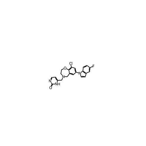 O=c1nccc(CN2CCOc3c(Cl)cc(-n4ccc5cc(F)ccc54)cc3C2)[nH]1